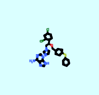 Clc1ccc(C(Cn2ccnc2)OCc2ccc(Sc3ccccc3)cc2)c(Cl)c1.Nc1ncnc2[nH]cnc12